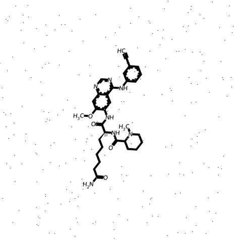 C#Cc1cccc(Nc2ncnc3cc(OC)c(NC(=O)[C@H](CCCCCC(N)=O)NC(=O)C4CCCCN4C)cc23)c1